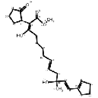 COC(=O)C(=C(O)CCCC/C=C/CC(C)(O)/C=C/C1=CCCC1)[C@H]1CCCC1=O